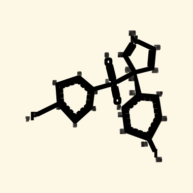 O=S(=O)(c1ccc(F)cc1)[C@@]1(c2ccc(I)cc2)C=CN=C1